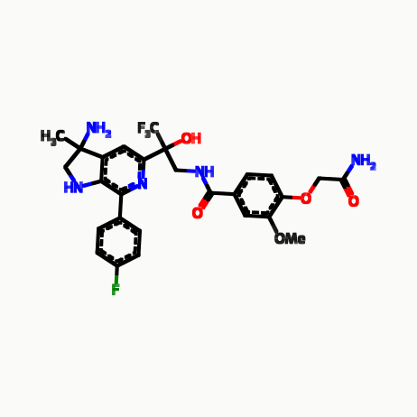 COc1cc(C(=O)NCC(O)(c2cc3c(c(-c4ccc(F)cc4)n2)NCC3(C)N)C(F)(F)F)ccc1OCC(N)=O